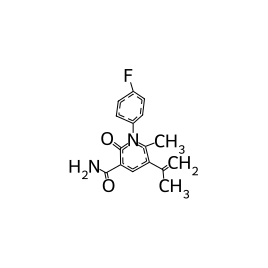 C=C(C)c1cc(C(N)=O)c(=O)n(-c2ccc(F)cc2)c1C